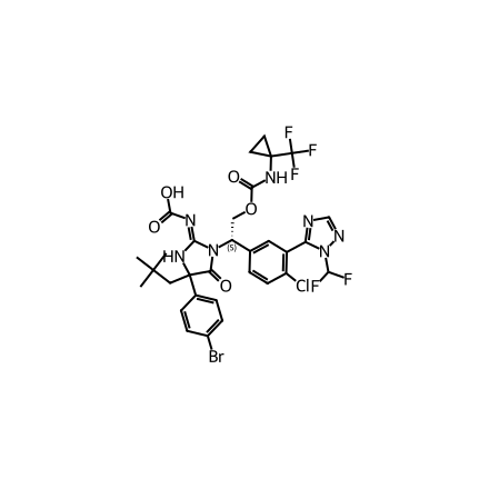 CC(C)(C)CC1(c2ccc(Br)cc2)NC(=NC(=O)O)N([C@H](COC(=O)NC2(C(F)(F)F)CC2)c2ccc(Cl)c(-c3ncnn3C(F)F)c2)C1=O